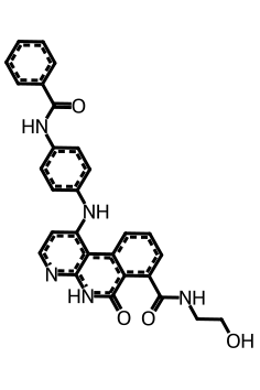 O=C(Nc1ccc(Nc2ccnc3[nH]c(=O)c4c(C(=O)NCCO)cccc4c23)cc1)c1ccccc1